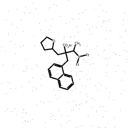 CCN(CC)C(C)C(Cc1cccc2ccccc12)(CC1CCCO1)C(=O)O